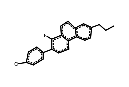 CCCc1ccc2c(ccc3c(F)c(-c4ccc(Cl)cc4)ccc32)c1